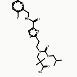 CC(C)COC(=O)N(CCc1nc(C(=O)NCc2ncccc2F)cs1)CC(C)(C)C(=O)O